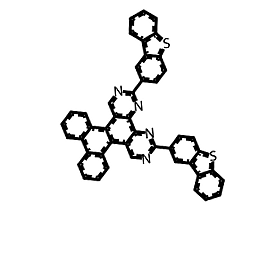 c1ccc2c(c1)sc1ccc(-c3ncc4c(n3)c3nc(-c5ccc6sc7ccccc7c6c5)ncc3c3c5ccccc5c5ccccc5c43)cc12